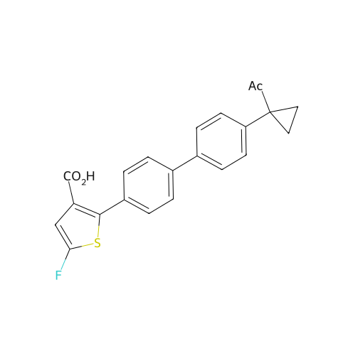 CC(=O)C1(c2ccc(-c3ccc(-c4sc(F)cc4C(=O)O)cc3)cc2)CC1